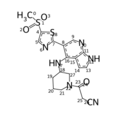 CS(=O)(=O)c1cnc(-c2cnc3[nH]ccc3c2NC2CCCN(C(=O)CC#N)C2)s1